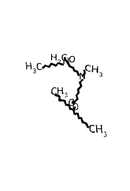 CCCCCCCCC(CCCCCCCC)OC(=O)CCCCCCCN(CCC)CCCCCC(=O)N(C)CCCCCCCC